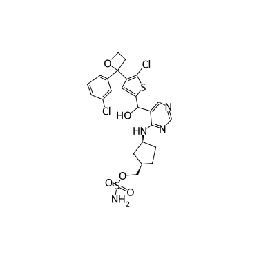 NS(=O)(=O)OC[C@@H]1CC[C@H](Nc2ncncc2C(O)c2cc(C3(c4cccc(Cl)c4)CCO3)c(Cl)s2)C1